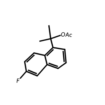 CC(=O)OC(C)(C)c1cccc2cc(F)ccc12